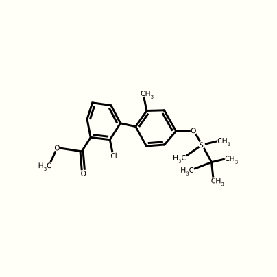 COC(=O)c1cccc(-c2ccc(O[Si](C)(C)C(C)(C)C)cc2C)c1Cl